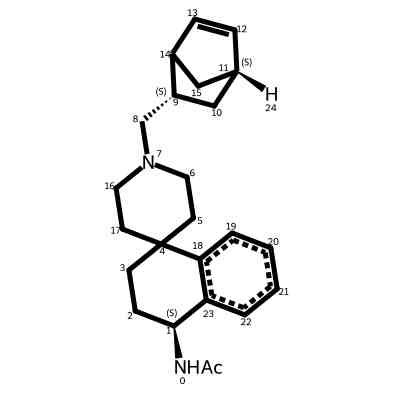 CC(=O)N[C@H]1CCC2(CCN(C[C@H]3C[C@H]4C=CC3C4)CC2)c2ccccc21